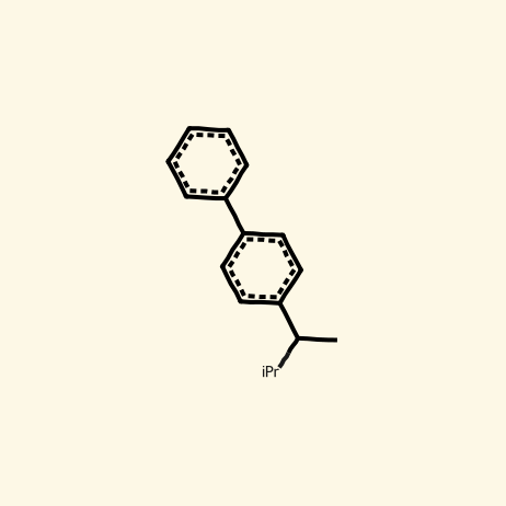 CC(C)C(C)c1ccc(-c2ccccc2)cc1